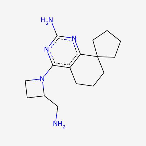 NCC1CCN1c1nc(N)nc2c1CCCC21CCCC1